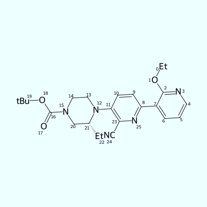 CCOc1ncccc1-c1ccc(N2CCN(C(=O)OC(C)(C)C)C[C@H]2CC)c(C#N)n1